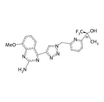 COc1cccc2c(-c3cn(Cc4cccc([C@@](C)(O)C(F)(F)F)n4)nn3)nc(N)nc12